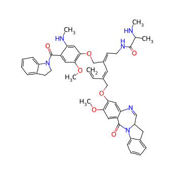 C=C/C(=C\C(=C/CNC(=O)C(C)NC)COc1cc(NC)c(C(=O)N2CCc3ccccc32)cc1OC)COc1cc2c(cc1OC)C(=O)N1c3ccccc3CC1C=N2